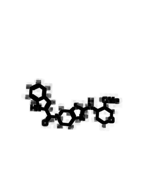 COC1COCCC1Nc1nc2c(s1)CN(C(=O)c1cc3ccccc3[nH]1)CC2